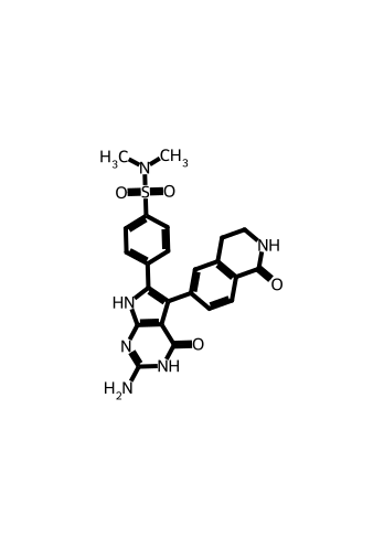 CN(C)S(=O)(=O)c1ccc(-c2[nH]c3nc(N)[nH]c(=O)c3c2-c2ccc3c(c2)CCNC3=O)cc1